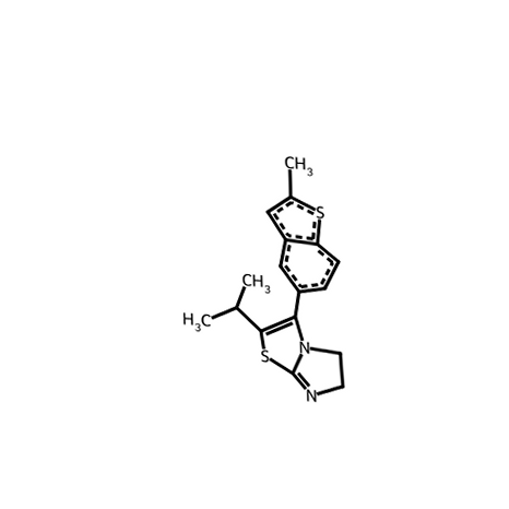 Cc1cc2cc(C3=C(C(C)C)SC4=NCCN43)ccc2s1